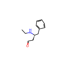 CCN[C@H](CC=O)Cc1ccccc1